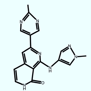 Cc1ncc(-c2cc3cc[nH]c(=O)c3c(Nc3cnn(C)c3)n2)cn1